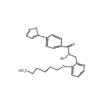 CC(C)N(Cc1ncccc1OCCCCCC(=O)O)C(=O)c1ccc(-c2ccco2)cc1